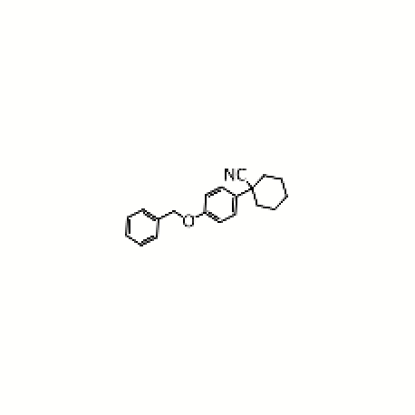 N#CC1(c2ccc(OCc3ccccc3)cc2)CCCCC1